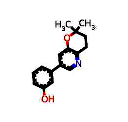 CC1(C)CCc2ncc(-c3cccc(O)c3)cc2O1